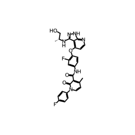 Cc1ccn(-c2ccc(F)cc2)c(=O)c1C(=O)Nc1ccc(Oc2ccnc3[nH]nc(N[C@H](C)CO)c23)c(F)c1